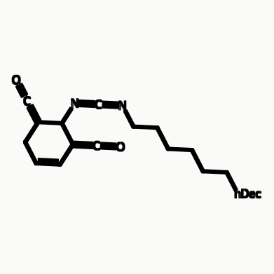 CCCCCCCCCCCCCCCCN=C=NC1C(=C=O)C=CCC1=C=O